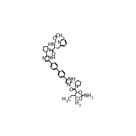 CCC(C)[C@H](OC(N)=O)C(=O)N1CCC[C@H]1c1ncc(-c2ccc(-c3ccc(-c4cnc(C5CCCN5C(=O)[C@H](Cc5ccccn5)NCOC)[nH]4)cc3)cc2)[nH]1